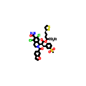 CCOC(=O)C(CCC[C@@H]1CCSS1)OC(=O)[C@@H](Cc1cccc(S(C)(=O)=O)c1)C1c2cc(Cl)c(C(N)=O)c(Cl)c2CCN1C(=O)c1ccc2ccoc2c1